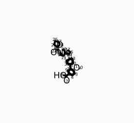 COc1ccc(C(=O)O)cc1-c1ccc([C@H]2CC[C@]23CCN(C(=O)[C@H]2CCCO2)C3)cc1